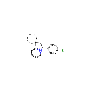 Clc1ccc(CCC2(c3ccccn3)CCCCC2)cc1